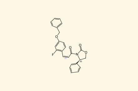 O=C(/C=C\c1ccc(OCc2ccccc2)cc1F)N1C(=O)OC[C@H]1c1ccccc1